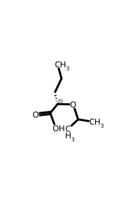 CCC[C@H](OC(C)C)C(=O)O